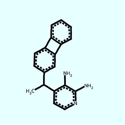 CC(c1ccc2c(c1)-c1ccccc1-2)c1ccnc(N)c1N